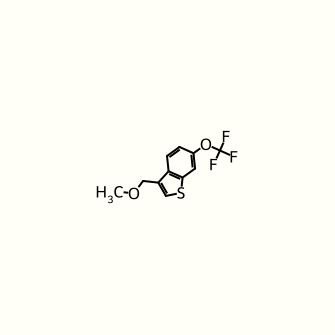 COCc1csc2cc(OC(F)(F)F)ccc12